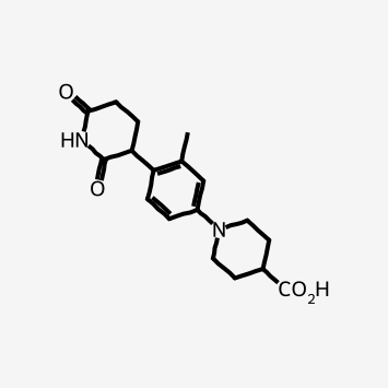 Cc1cc(N2CCC(C(=O)O)CC2)ccc1C1CCC(=O)NC1=O